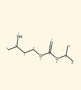 CC(O)CCOC(=O)OC(C)C